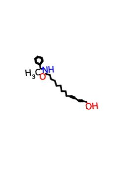 CC(NC(=O)CCCCCCCCC#CC#CCO)c1ccccc1